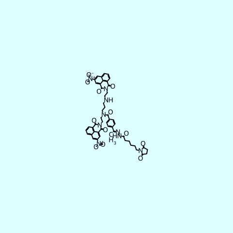 C/C(=N\NC(=O)CCCCCN1C(=O)CCC1=O)c1ccc(C(=O)N(CCCNCCN2C(=O)c3cccc4cc([N+](=O)[O-])cc(c34)C2=O)CCN2C(=O)c3cccc4cc([N+](=O)[O-])cc(c34)C2=O)cc1